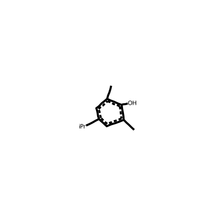 Cc1cc(C(C)C)cc(C)c1O